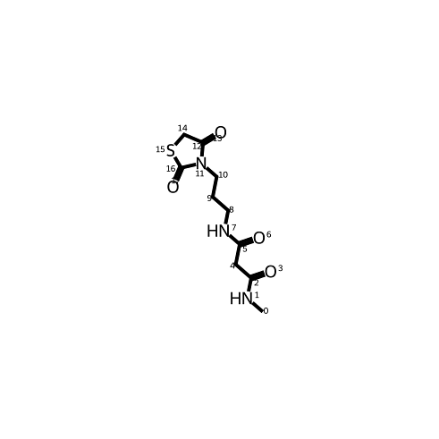 CNC(=O)CC(=O)NCCCN1C(=O)CSC1=O